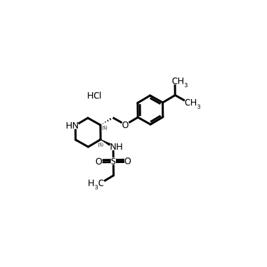 CCS(=O)(=O)N[C@H]1CCNC[C@@H]1COc1ccc(C(C)C)cc1.Cl